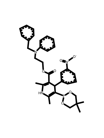 CC1=C(C(=O)OCCN(Cc2ccccc2)c2ccccc2)C(c2cccc([N+](=O)[O-])c2)C(P2OCC(C)(C)CO2)=C(C)N1